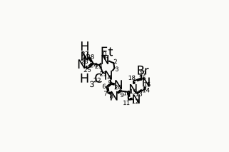 CCN1CCN(c2ccnc(-c3cnc4cnc(Br)cn34)n2)C(C)C1c1cn[nH]c1